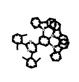 Cc1cccc(C)c1-c1cc(-c2cc(-n3c4ccccc4c4ccccc43)c(-n3c4ccccc4c4ccccc43)c(-n3c4ccccc4c4ccccc43)c2)nc(-c2c(C)cccc2C)n1